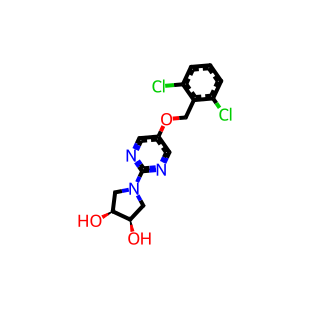 O[C@@H]1CN(c2ncc(OCc3c(Cl)cccc3Cl)cn2)C[C@@H]1O